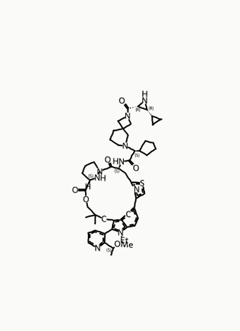 CCn1c(-c2cccnc2[C@H](C)OC)c2c3cc(ccc31)-c1csc(n1)C[C@H](NC(=O)[C@H](C1CCCC1)N1CCCC3(CN(C(=O)[C@@H]4N[C@@H]4C4CC4)C3)C1)C(=O)N1CCC[C@H](N1)C(=O)OCC(C)(C)C2